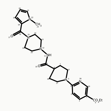 CCOC(=O)c1ccc(N2CCC(C(=O)NN3CCN(C(=O)c4cccn4C)CC3)CC2)nc1